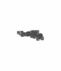 NC(=O)COc1ccc(C(OC=O)C(=O)c2cncn(Cc3cccc(Cl)c3Cl)c2=O)cc1